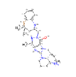 CC#CCn1c(N2CCCC(N)C2)nc2c(C)nn(CC3=Nc4ccccc4SC(C)(C)C3)c(=O)c21